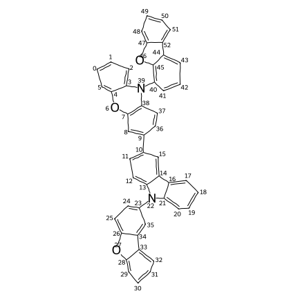 c1ccc2c(c1)Oc1cc(-c3ccc4c(c3)c3ccccc3n4-c3ccc4oc5ccccc5c4c3)ccc1N2c1cccc2c1oc1ccccc12